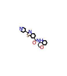 O=C(NC1CCOc2ccccc21)c1ccc2nc(-c3ccncc3)sc2c1